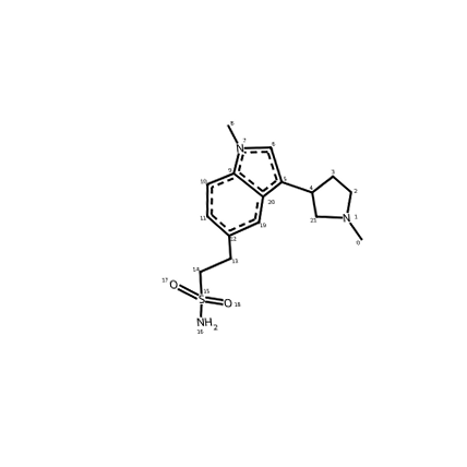 CN1CCC(c2cn(C)c3ccc(CCS(N)(=O)=O)cc23)C1